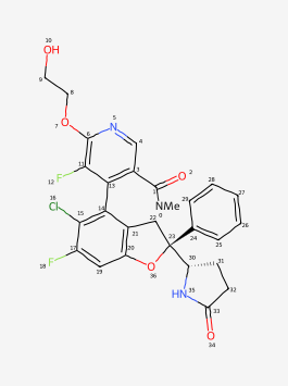 CNC(=O)c1cnc(OCCO)c(F)c1-c1c(Cl)c(F)cc2c1C[C@](c1ccccc1)([C@@H]1CCC(=O)N1)O2